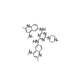 Cc1cc(N(C)C)c2cc(Nc3nc(Nc4ccc5nc(C)cc(N(C)C)c5c4)nc(N4CCN(C)CC4)n3)ccc2n1